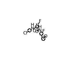 O=C(Nc1ccc(Cl)cc1)[C@H]1CN(CCF)C[C@@H]1C(=O)Nc1ccc(-n2ccccc2=O)cc1F